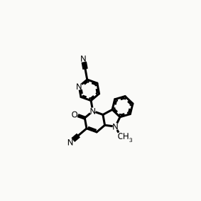 CN1c2ccccc2C2C1C=C(C#N)C(=O)N2c1ccc(C#N)nc1